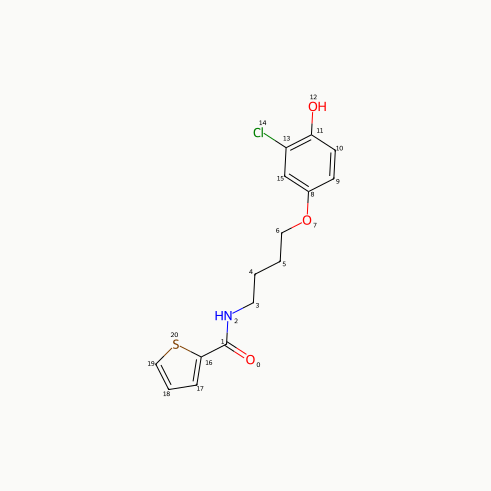 O=C(NCCCCOc1ccc(O)c(Cl)c1)c1cccs1